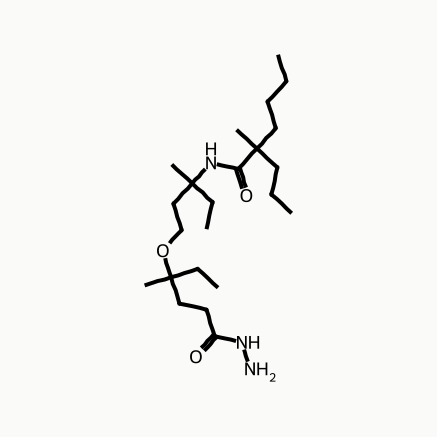 CCCCC(C)(CCC)C(=O)NC(C)(CC)CCOC(C)(CC)CCC(=O)NN